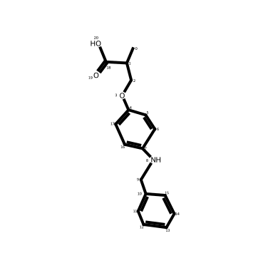 CC(COc1ccc(NCc2ccccc2)cc1)C(=O)O